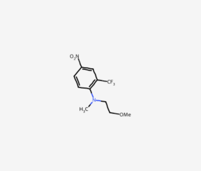 COCCN(C)c1ccc([N+](=O)[O-])cc1C(F)(F)F